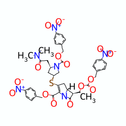 CC(OC(=O)OCc1ccc([N+](=O)[O-])cc1)[C@H]1C(=O)N2C(C(=O)OCc3ccc([N+](=O)[O-])cc3)=C(S[C@H]3C[C@@H](CC(=O)N(C)C)N(C(=O)OCc4ccc([N+](=O)[O-])cc4)C3)C[C@H]12